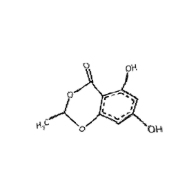 CC1OC(=O)c2c(O)cc(O)cc2O1